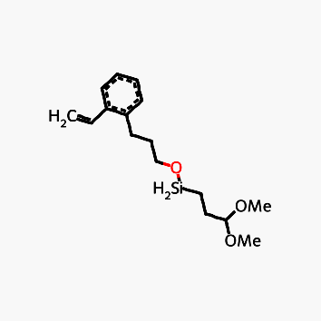 C=Cc1ccccc1CCCO[SiH2]CCC(OC)OC